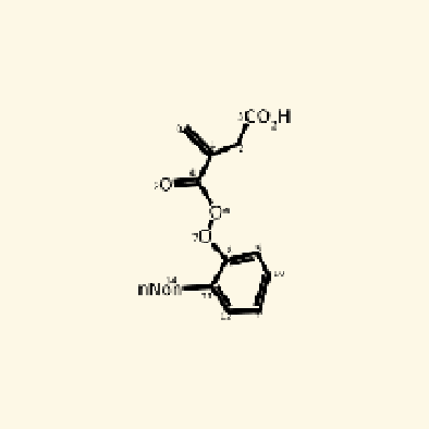 C=C(CC(=O)O)C(=O)OOc1ccccc1CCCCCCCCC